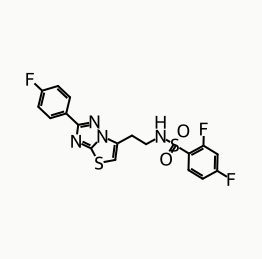 O=S(=O)(NCCc1csc2nc(-c3ccc(F)cc3)nn12)c1ccc(F)cc1F